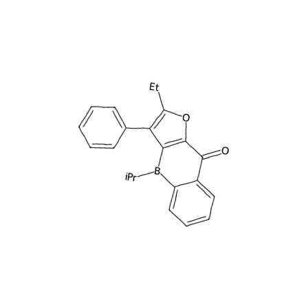 CCc1oc2c(c1-c1ccccc1)B(C(C)C)c1ccccc1C2=O